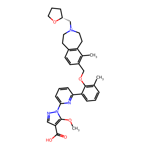 COc1c(C(=O)O)cnn1-c1cccc(-c2cccc(C)c2OCc2ccc3c(c2C)CCN(C[C@H]2CCCO2)CC3)n1